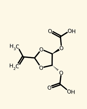 C=C(C)C1O[C@@H](OC(=O)O)[C@H](OC(=O)O)O1